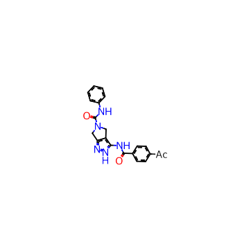 CC(=O)c1ccc(C(=O)Nc2[nH]nc3c2CN(C(=O)Nc2ccccc2)C3)cc1